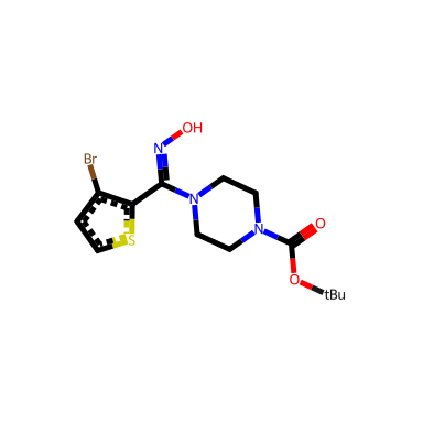 CC(C)(C)OC(=O)N1CCN(/C(=N\O)c2sccc2Br)CC1